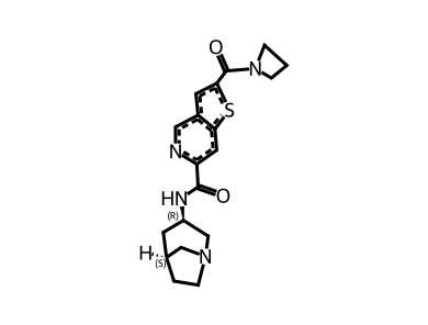 O=C(N[C@@H]1C[C@@H]2CCN(C2)C1)c1cc2sc(C(=O)N3CCC3)cc2cn1